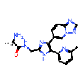 Cc1cccc(-c2[nH]c(CNC(=O)[C@H](C)N)nc2-c2ccc3ncnn3c2)n1